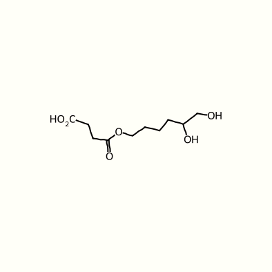 O=C(O)CCC(=O)OCCCCC(O)CO